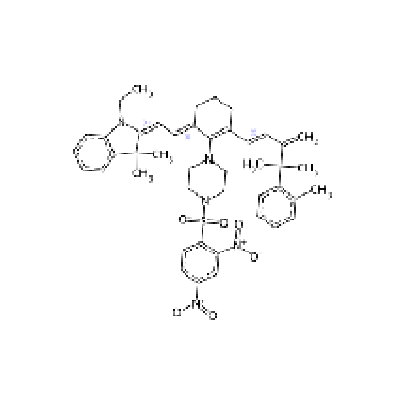 C=C(/C=C/C1=C(N2CCN(S(=O)(=O)c3ccc([N+](=O)[O-])cc3[N+](=O)[O-])CC2)C(=C/C=C2/N(CC)c3ccccc3C2(C)C)/CCC1)C(C)(C)c1ccccc1C